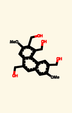 COc1cc2cc(CO)c3cc(OC)c(CO)c(CO)c3c2cc1CO